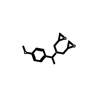 COc1ccc(C(C)N(CC2CO2)CC2CO2)cc1